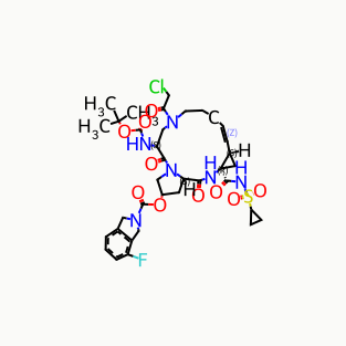 CC(C)(C)OC(=O)N[C@H]1CN(C(=O)CCl)CCC/C=C\[C@@H]2C[C@@]2(C(=O)NS(=O)(=O)C2CC2)NC(=O)[C@@H]2CC(OC(=O)N3Cc4cccc(F)c4C3)CN2C1=O